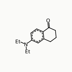 CCN(CC)c1ccc2c(c1)CCCC2=O